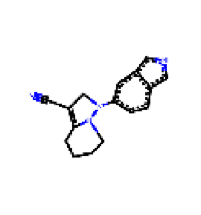 N#CC1=C2CCCCN2N(c2ccc3c[nH]cc3c2)C1